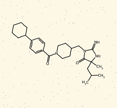 CC(C)CC1(C)NC(=N)N(CC2CCN(C(=O)c3ccc(C4CCCCC4)cc3)CC2)C1=O